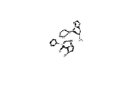 Nc1cc(N2CCC[C@H]2c2nn3ccc(Cl)c3c(=O)n2-c2ccccc2)n2nccc2n1